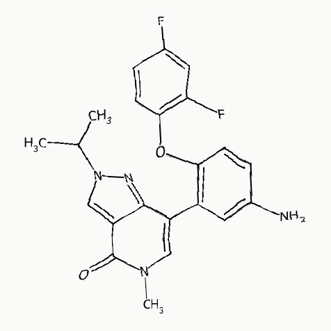 CC(C)n1cc2c(=O)n(C)cc(-c3cc(N)ccc3Oc3ccc(F)cc3F)c2n1